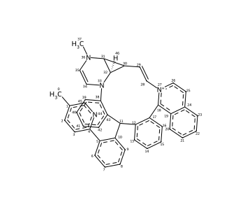 Cc1ccc(-c2ccccc2C2c3ccccc3-c3c4ccccc4cc[n+]3/C=C/C3C4[C@@H]3N(C=CN4C)c3ccccc32)nc1